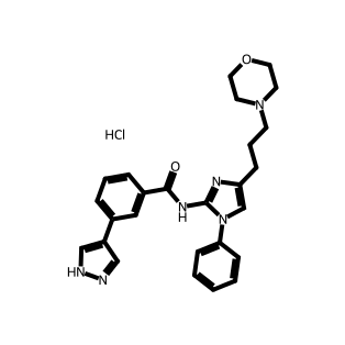 Cl.O=C(Nc1nc(CCCN2CCOCC2)cn1-c1ccccc1)c1cccc(-c2cn[nH]c2)c1